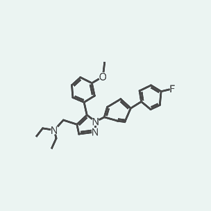 CCN(CC)Cc1cnn(-c2ccc(-c3ccc(F)cc3)cc2)c1-c1cccc(OC)c1